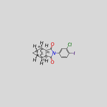 O=C1[C@@H]2[C@@H]3CC[C@@H]([C@@H]4C[C@@H]43)[C@@H]2C(=O)N1c1ccc(I)c(Cl)c1